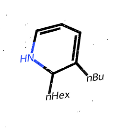 CCCCCCC1NC=CC=C1CCCC